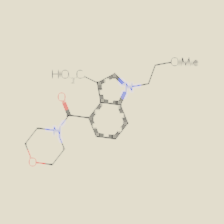 COCCn1cc(C(=O)O)c2c(C(=O)N3CCOCC3)cccc21